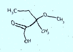 CCC(C)(OC)C(=O)O